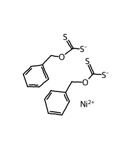 S=C([S-])OCc1ccccc1.S=C([S-])OCc1ccccc1.[Ni+2]